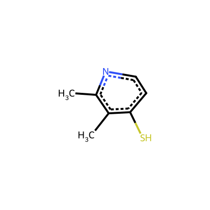 Cc1nccc(S)c1C